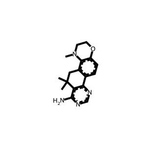 CN1CCOc2ccc3c(c21)CC(C)(C)c1c(N)ncnc1-3